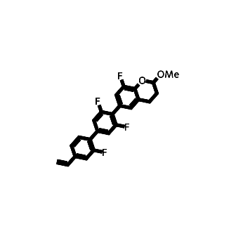 C=Cc1ccc(-c2cc(F)c(-c3cc(F)c4c(c3)CCC(OC)O4)c(F)c2)c(F)c1